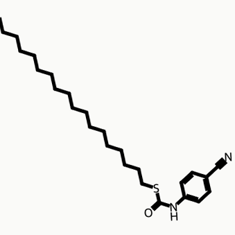 CCCCCCCCCCCCCCCCCCSC(=O)Nc1ccc(C#N)cc1